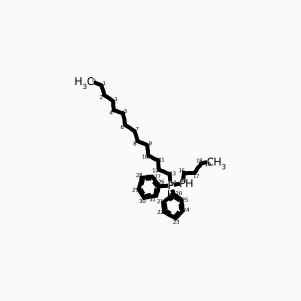 CCCCCCCCCCCCCC[PH](PCCCC)(c1ccccc1)c1ccccc1